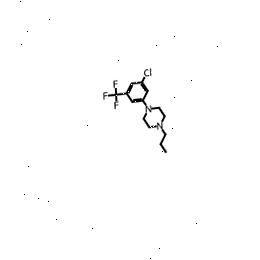 CCCN1CCN(c2cc(Cl)cc(C(F)(F)F)c2)CC1